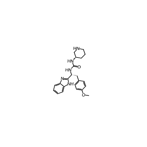 COc1ccc(C[C@@H](NC(=O)N[C@@H]2CCCNC2)c2nc3ccccc3[nH]2)cc1